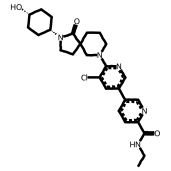 CCNC(=O)c1ccc(-c2cnc(N3CCCC4(CCN([C@H]5CC[C@@H](O)CC5)C4=O)C3)c(Cl)c2)cn1